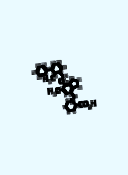 Cc1cc(CN2CCCCC2C(=O)O)c2c(c1OCc1cccc(-c3ccccc3)c1C)CCC2